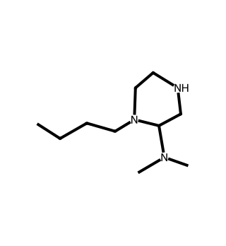 CCCCN1CCNCC1N(C)C